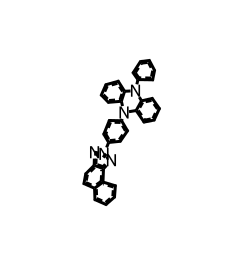 c1ccc(N2c3ccccc3N(c3ccc(-n4nc5ccc6ccccc6c5n4)cc3)c3ccccc32)cc1